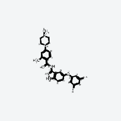 Cc1cc(N2CCN(C)CC2)ccc1C(=O)Nc1n[nH]c2ccc(Oc3cc(F)cc(F)c3)cc12